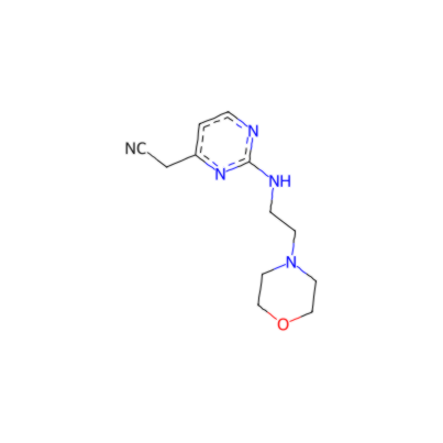 N#CCc1ccnc(NCCN2CCOCC2)n1